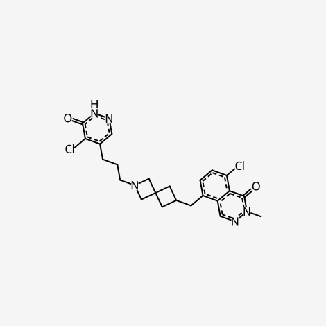 Cn1ncc2c(CC3CC4(C3)CN(CCCc3cn[nH]c(=O)c3Cl)C4)ccc(Cl)c2c1=O